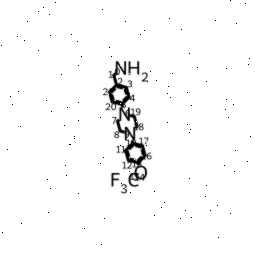 NCc1ccc(N2CCN(c3ccc(OC(F)(F)F)cc3)CC2)cc1